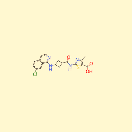 Cc1nc(NC(=O)C2CC(Nc3nccc4ccc(Cl)cc34)C2)sc1C(=O)O